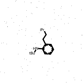 CC(C)CCc1ccccc1NC(C)(C)C